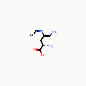 C/C=N\C(=C/N)C[C@H](N)C(=O)O